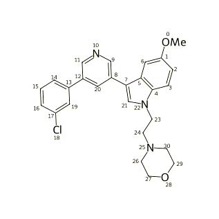 COc1ccc2c(c1)c(-c1cncc(-c3cccc(Cl)c3)c1)cn2CCN1CCOCC1